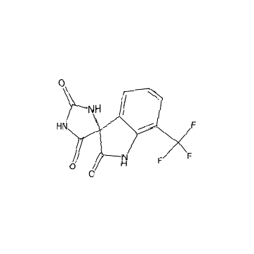 O=C1NC(=O)C2(N1)C(=O)Nc1c(C(F)(F)F)cccc12